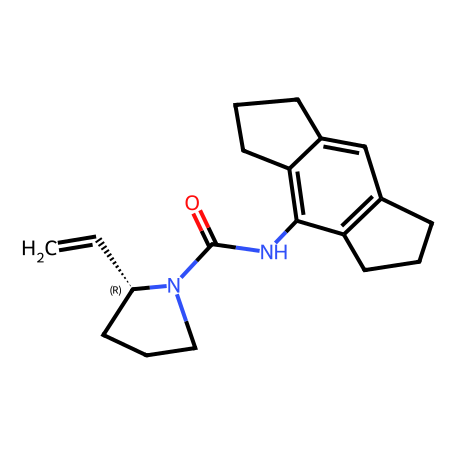 C=C[C@H]1CCCN1C(=O)Nc1c2c(cc3c1CCC3)CCC2